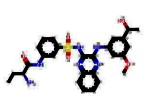 CC[C@H](N)C(=O)Nc1cccc(S(=O)(=O)Nc2nc3ccccc3nc2Nc2cc(OC)cc(C(C)O)c2)c1